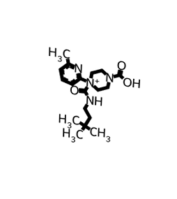 Cc1cccc([N+]2(C(=O)NCCC(C)(C)C)CCN(C(=O)O)CC2)n1